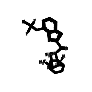 CC1(C)[C@@H](NC(=O)c2cc3cccc(CC(F)(F)F)c3s2)C2CCN1CC2